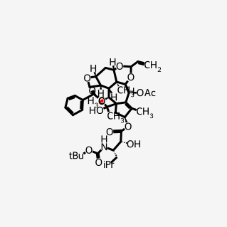 C=CC1O[C@H]2C[C@H]3OC[C@H]3[C@H]3[C@H](OC(=O)c4ccccc4)C4(C(C)(C)O)C[C@H](OC(=O)[C@H](O)[C@H](CC(C)C)NC(=O)OC(C)(C)C)C(C)=C4[C@H](OC(C)=O)[C@H](O1)[C@@]32C